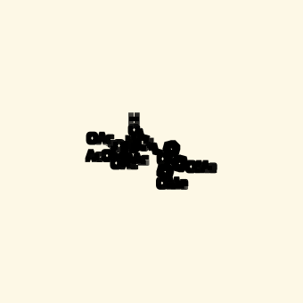 COc1ccc(C(OCCCN(CCCO)Cc2cn([C@H]3O[C@@H](COC(C)=O)[C@@H](OC(C)=O)[C@@H](OC(C)=O)[C@@H]3OC(C)=O)nn2)(c2ccccc2)c2ccc(OC)cc2)cc1